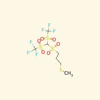 CSCCCS(=O)(=O)C(S(=O)(=O)C(F)(F)F)S(=O)(=O)C(F)(F)F